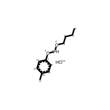 CCCCOPOc1ccc(C)cc1.Cl